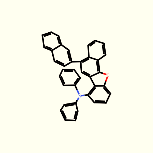 c1ccc(N(c2ccccc2)c2cccc3oc4c5ccccc5c(-c5ccc6ccccc6c5)cc4c23)cc1